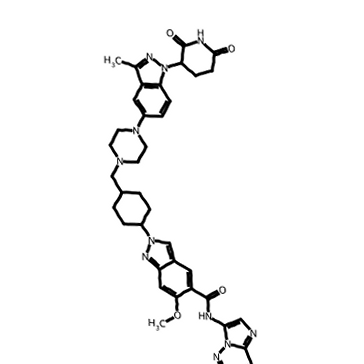 COc1cc2nn(C3CCC(CN4CCN(c5ccc6c(c5)c(C)nn6C5CCC(=O)NC5=O)CC4)CC3)cc2cc1C(=O)Nc1cnc2cccnn12